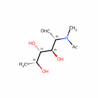 CC(=O)N(C)[C@@H](C=O)[C@@H](O)[C@@H](O)[C@@H](C)O